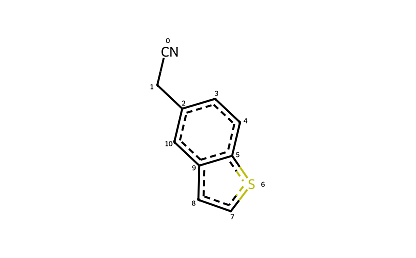 N#CCc1ccc2sccc2c1